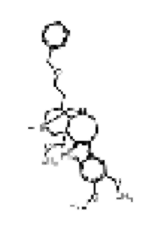 COC(=O)C12C[C@H]3CC(CCOCc4ccccc4)C1N(CCc1c2[nH]c2cc(OC)c(OC)cc12)C3